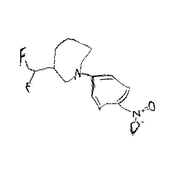 O=[N+]([O-])c1ccc(N2CCCC(C(F)F)C2)cc1